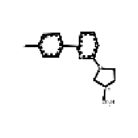 O=C(O)[C@@H]1CCN(c2cccc(-c3ccc(F)cc3)n2)C1